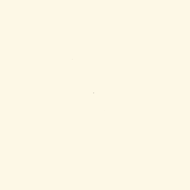 FC(F)C12CCC(CC1)CC2